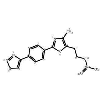 Cc1nc(-c2ccc(-c3csnn3)cc2)sc1CCO[N+](=O)[O-]